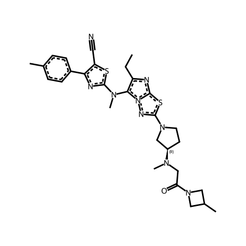 CCc1nc2sc(N3CC[C@@H](N(C)CC(=O)N4CC(C)C4)C3)nn2c1N(C)c1nc(-c2ccc(C)cc2)c(C#N)s1